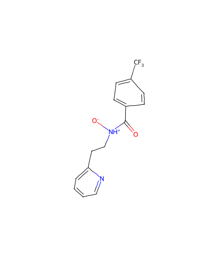 O=C(c1ccc(C(F)(F)F)cc1)[NH+]([O-])CCc1ccccn1